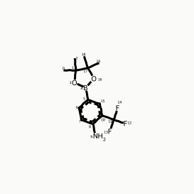 CC1(C)OB(c2ccc(N)c(C(F)(F)F)c2)OC1(C)C